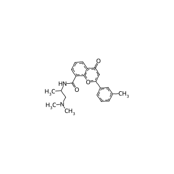 Cc1cccc(-c2cc(=O)c3cccc(C(=O)NC(C)CN(C)C)c3o2)c1